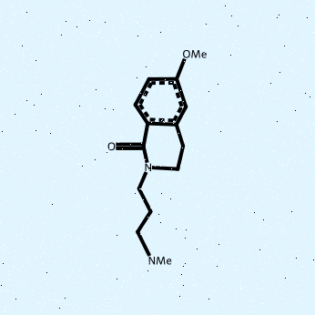 CNCCCN1CCc2cc(OC)ccc2C1=O